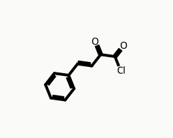 O=C(Cl)C(=O)C=Cc1ccccc1